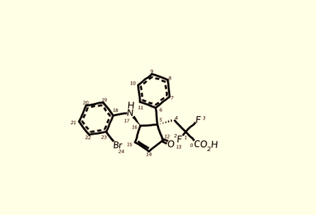 O=C(O)C(F)(F)C[C@]1(c2ccccc2)C(=O)C=C[C@H]1Nc1ccccc1Br